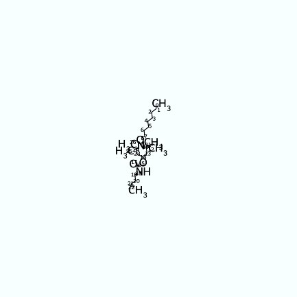 CCCCCCCCON1C(C)(C)CC(OC(=O)NCCCC)CC1(C)C